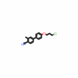 Cc1cc(-c2ccc(OCCCCl)cc2)ccc1C#N